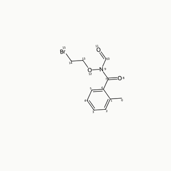 Cc1ccccc1C(=O)N(C=O)OCCBr